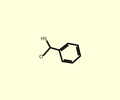 SC(Cl)c1ccccc1